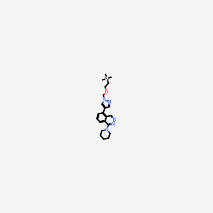 C[Si](C)(C)CCOCn1cc(-c2cccc3c(N4CCCCC4)nncc23)cn1